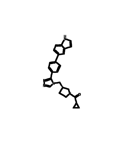 O=C(C1CC1)N1CC[C@@H](Cn2cnnc2-c2ccc(-c3ccc4[nH]ccc4c3)cc2)C1